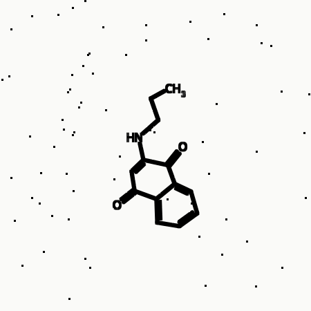 CCCNC1=CC(=O)c2ccccc2C1=O